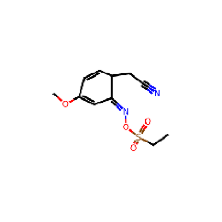 CCS(=O)(=O)ON=C1C=C(OC)C=CC1CC#N